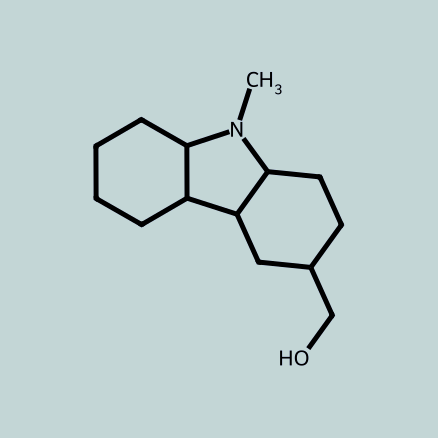 CN1C2CCCCC2C2CC(CO)CCC21